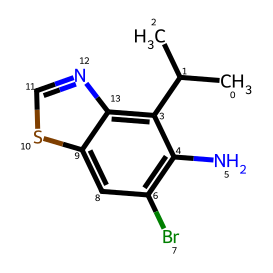 CC(C)c1c(N)c(Br)cc2scnc12